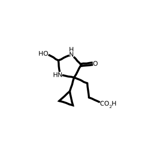 O=C(O)CCC1(C2CC2)NC(O)NC1=O